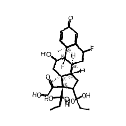 CCC(O)(O)C1C[C@H]2[C@@H]3CC(F)C4=CC(=O)C=C[C@]4(C)[C@@]3(F)C(O)C[C@]2(C)[C@]1(C(=O)CO)C(O)(O)CC